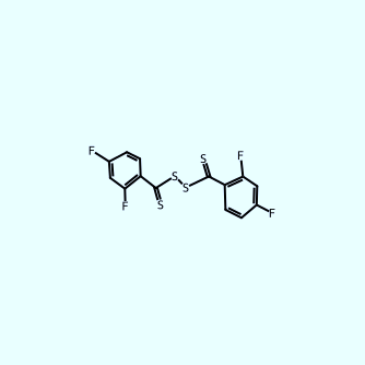 Fc1ccc(C(=S)SSC(=S)c2ccc(F)cc2F)c(F)c1